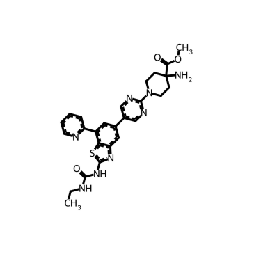 CCNC(=O)Nc1nc2cc(-c3cnc(N4CCC(N)(C(=O)OC)CC4)nc3)cc(-c3ccccn3)c2s1